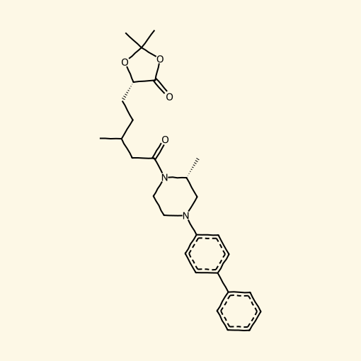 CC(CC[C@@H]1OC(C)(C)OC1=O)CC(=O)N1CCN(c2ccc(-c3ccccc3)cc2)C[C@H]1C